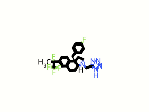 CC(F)(c1ccc2c(c1)CC[C@H]1N(Cc3nnn[nH]3)CC[C@@]21Cc1ccc(F)cc1)C(F)(F)F